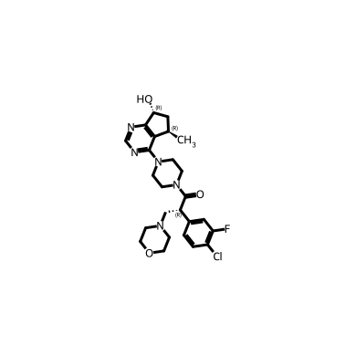 C[C@@H]1C[C@@H](O)c2ncnc(N3CCN(C(=O)[C@@H](CN4CCOCC4)c4ccc(Cl)c(F)c4)CC3)c21